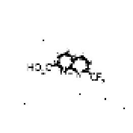 O=C(O)c1ccc2ccc(C(F)(F)F)nc2n1